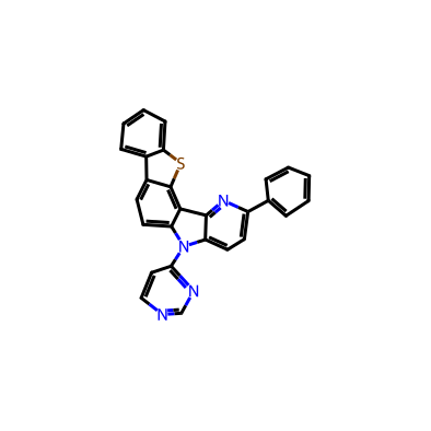 c1ccc(-c2ccc3c(n2)c2c4sc5ccccc5c4ccc2n3-c2ccncn2)cc1